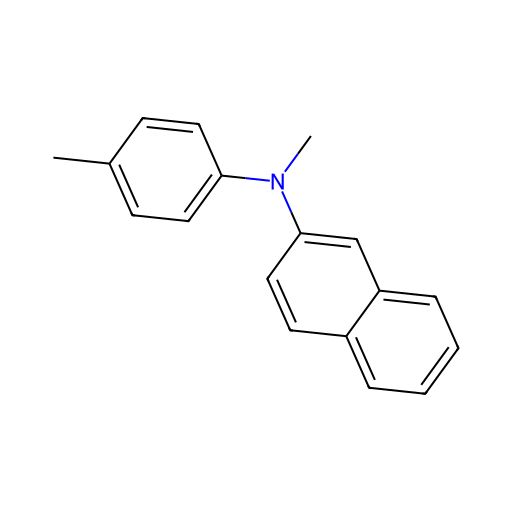 Cc1ccc(N(C)c2ccc3ccccc3c2)cc1